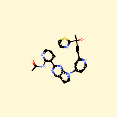 CC(=O)Nc1ncccc1-c1ncc2ccn(-c3ccnc(C#CC(C)(O)c4nccs4)c3)c2n1